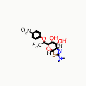 CN(C)C1=N[C@@H]2[C@@H](O)[C@H](O)[C@@H]([C@H](Oc3ccc([N+](=O)[O-])cc3)C(F)(F)F)O[C@@H]2S1